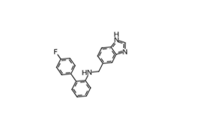 Fc1ccc(-c2ccccc2NCc2ccc3[nH]cnc3c2)cc1